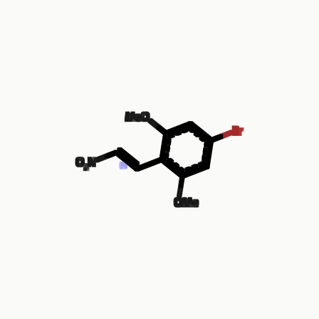 COc1cc(Br)cc(OC)c1/C=C/[N+](=O)[O-]